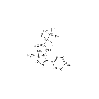 CC1(C)ON=C(c2ccc(Cl)cc2)N1NC(=O)C(F)(F)C(F)(F)Cl